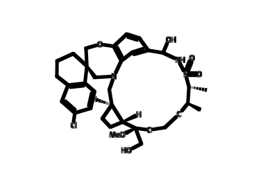 CO[C@]1(CO)CCC[C@H](C)[C@@H](C)S(=O)(=O)NC(O)c2ccc3c(c2)N(C[C@@H]2CC[C@H]21)C[C@@]1(CCCc2cc(Cl)ccc21)CO3